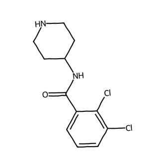 O=C(NC1CCNCC1)c1cccc(Cl)c1Cl